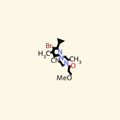 COCCC(=O)N1CCN(c2nc(C3CC3)c(Br)c(C)c2C#N)CC1C